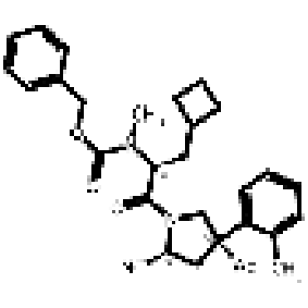 CC(=O)[C@@]1(c2ccccc2C)C[C@@H](C#N)N(C(=O)[C@H](CC2CCC2)N(C)C(=O)OCc2ccccc2)C1